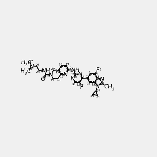 Cc1nc2c(F)cc(-c3nc(Nc4ccc5c(n4)CCN(C(=O)NCCN(C)C)C5)ncc3F)cc2n1C1CC1